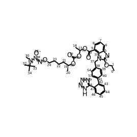 CCOc1nc2cccc(C(=O)OC(C)OC(=O)O[C@@H](C)CCCCO/N=[N+](\[O-])N(C)C(C)(C)C)c2n1Cc1ccc(-c2ccccc2-c2nnn[nH]2)cc1